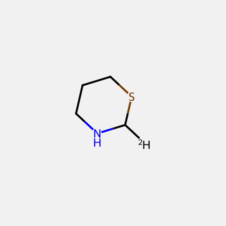 [2H]C1NCCCS1